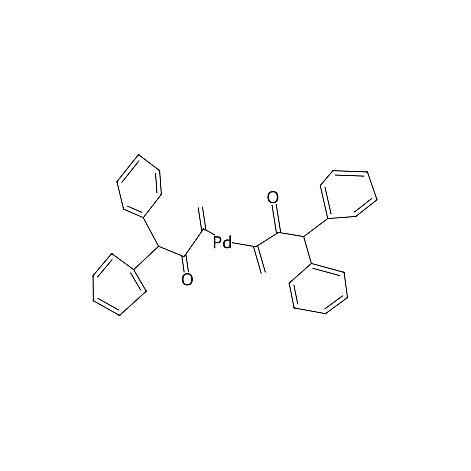 C=[C]([Pd][C](=C)C(=O)C(c1ccccc1)c1ccccc1)C(=O)C(c1ccccc1)c1ccccc1